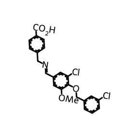 COc1cc(/C=N/Cc2ccc(C(=O)O)cc2)cc(Cl)c1OCc1cccc(Cl)c1